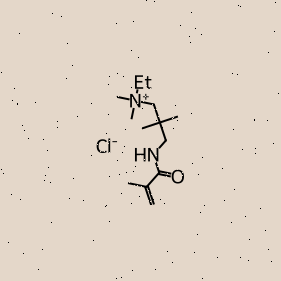 C=C(C)C(=O)NCC(C)(C)C[N+](C)(C)CC.[Cl-]